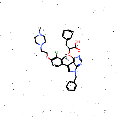 Cc1c(-c2cn(Cc3ccccc3)c3ncnc(OC(Cc4ccccc4)C(=O)O)c23)ccc(OCCN2CCN(C)CC2)c1Cl